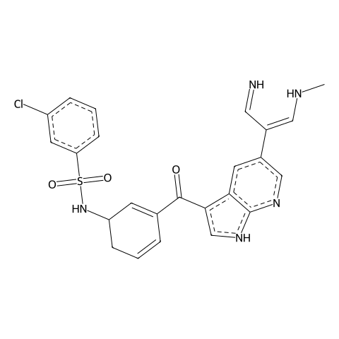 CN/C=C(\C=N)c1cnc2[nH]cc(C(=O)C3=CC(NS(=O)(=O)c4cccc(Cl)c4)CC=C3)c2c1